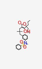 CCCC1(CCC)OC(=O)C(CC(C)(C)Cc2cccc(N(C)S(=O)(=O)c3ccccc3)c2)=C1O